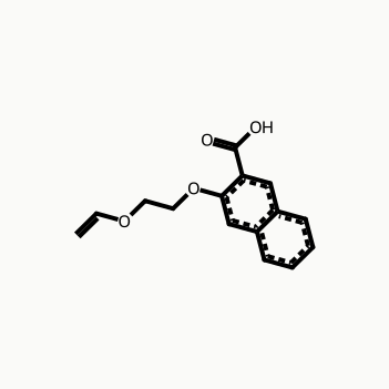 C=COCCOc1cc2ccccc2cc1C(=O)O